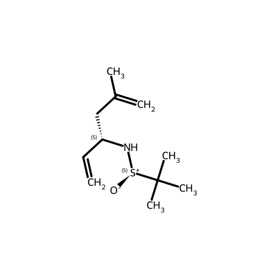 C=C[C@H](CC(=C)C)N[S@+]([O-])C(C)(C)C